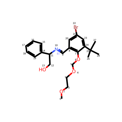 COCCOCOc1c(/C=N/C(CO)c2ccccc2)cc(Br)cc1C(C)(C)C